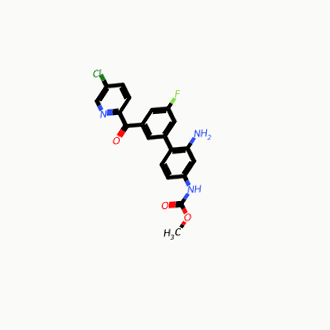 COC(=O)Nc1ccc(-c2cc(F)cc(C(=O)c3ccc(Cl)cn3)c2)c(N)c1